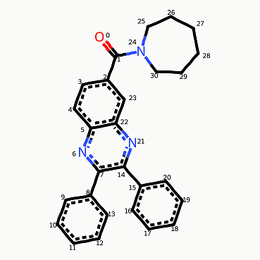 O=C(c1ccc2nc(-c3ccccc3)c(-c3ccccc3)nc2c1)N1CCCCCC1